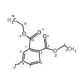 CCOC(=O)c1ccc(F)cc1C(=O)OCC